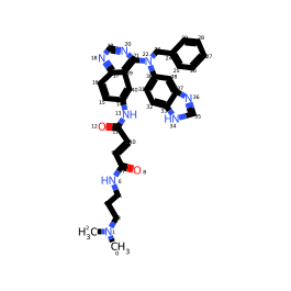 CN(C)CCCNC(=O)C=CC(=O)Nc1ccc2ncnc(N(Cc3ccccc3)c3ccc4[nH]cnc4c3)c2c1